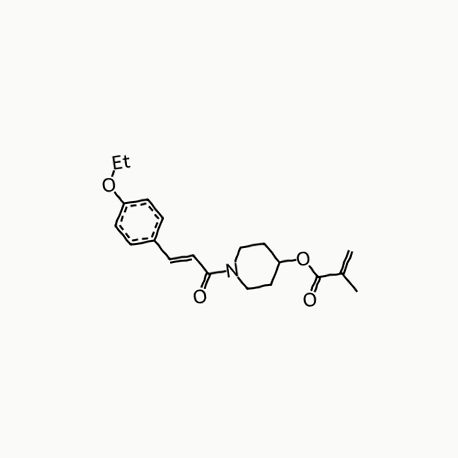 C=C(C)C(=O)OC1CCN(C(=O)/C=C/c2ccc(OCC)cc2)CC1